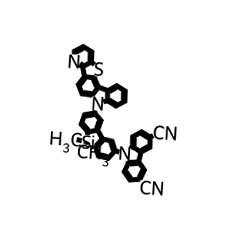 C[Si]1(C)c2ccc(-n3c4ccc(C#N)cc4c4cc(C#N)ccc43)cc2-c2cc(-n3c4ccccc4c4c5sc6cccnc6c5ccc43)ccc21